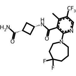 Cc1c(C(F)(F)F)cnc(N2CCCC(F)(F)CC2)c1C(=O)N[C@H]1C[C@@H](C(N)=O)C1